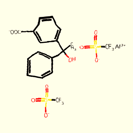 CC(O)(c1ccccc1)c1cccc(C(=O)[O-])c1.O=S(=O)([O-])C(F)(F)F.O=S(=O)([O-])C(F)(F)F.[Al+3]